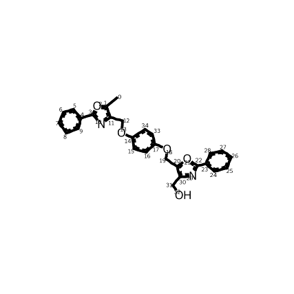 Cc1oc(-c2ccccc2)nc1COc1ccc(OCc2oc(-c3ccccc3)nc2CO)cc1